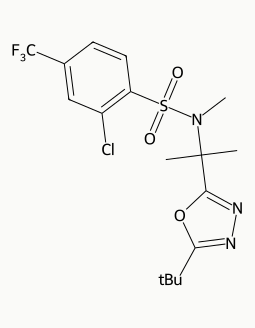 CN(C(C)(C)c1nnc(C(C)(C)C)o1)S(=O)(=O)c1ccc(C(F)(F)F)cc1Cl